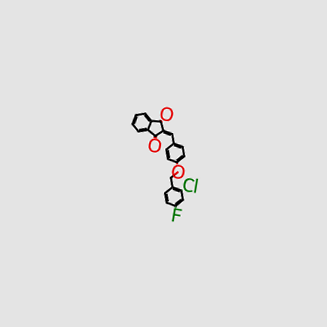 O=C1C(=Cc2ccc(OCc3ccc(F)cc3Cl)cc2)C(=O)c2ccccc21